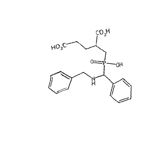 O=C(O)CCC(CP(=O)(O)C(NCc1ccccc1)c1ccccc1)C(=O)O